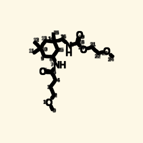 COCCCC(=O)NC1CC(C)(C)CC(C)(CNC(=O)OCCOC)C1